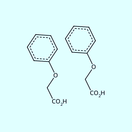 O=C(O)COc1ccccc1.O=C(O)COc1ccccc1